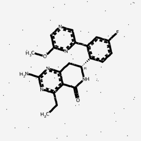 CCc1nc(N)nc2c1C(=O)N[C@@H](c1ccc(F)cc1-c1cncc(OC)n1)C2